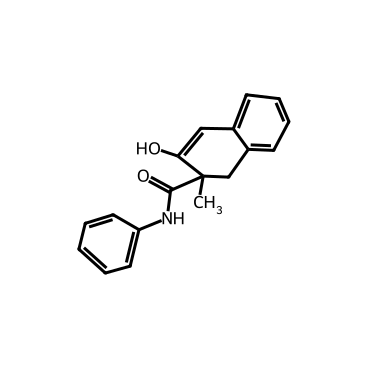 CC1(C(=O)Nc2ccccc2)Cc2ccccc2C=C1O